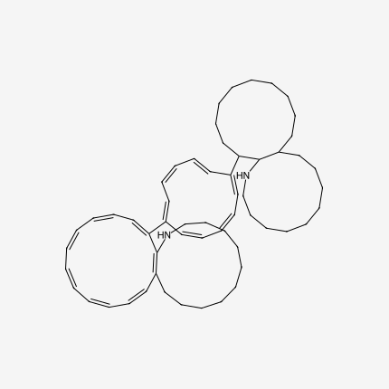 C1=C\C=C\C(C2CCCCCCCCCC3CCCCCCCCCNC32)=C/C=C\C=C/C(c2cccccccccccc3c2NCCCCCCCCCC3)=C/1